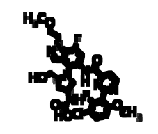 COCCn1ncc2c(N3C[C@@H](NC(=O)O)C[C@H]3CO)c(NC(=O)c3ccnc(-c4c(OC)ccc(Cl)c4F)n3)cc(F)c21